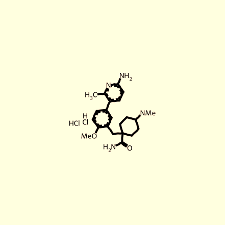 CNC1CCC(Cc2cc(-c3ccc(N)nc3C)ccc2OC)(C(N)=O)CC1.Cl.Cl